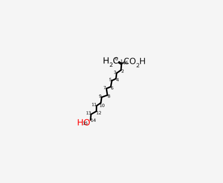 C=C(CCCCCCCCCCCCCO)C(=O)O